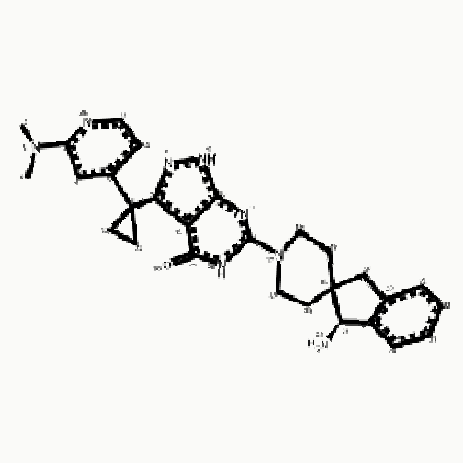 CN(C)c1cc(C2(c3n[nH]c4nc(N5CCC6(CC5)Cc5ccccc5[C@H]6N)[nH]c(=O)c34)CC2)ccn1